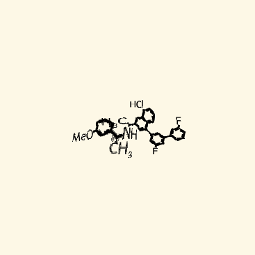 COc1cccc([C@@H](C)NC(C)c2cc(-c3cc(F)cc(-c4cccc(F)c4)c3)c3ccccc3c2)c1.Cl